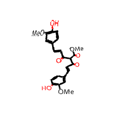 COC(=O)C(C(=O)/C=C/c1ccc(O)c(OC)c1)C(=O)/C=C/c1ccc(O)c(OC)c1